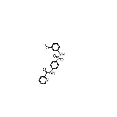 COc1cccc(NS(=O)(=O)c2ccc(NC(=O)c3ccccn3)cc2)c1